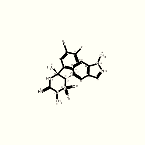 CN1C(=N)N[C@](C)(c2cc(F)c(F)cc2F)[C@H](c2ccc3c(cnn3C)c2)S1(=O)=O